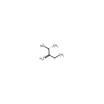 C=C(CC)[C@@H](C)O